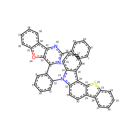 c1ccc(-c2nc(-c3ccccc3-n3c4ccccc4c4c5sc6ccccc6c5ccc43)c3oc4ccccc4c3n2)cc1